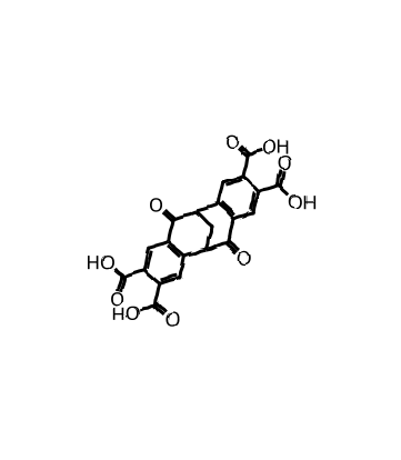 O=C(O)c1cc2c(cc1C(=O)O)C1CC(C2=O)c2cc(C(=O)O)c(C(=O)O)cc2C1=O